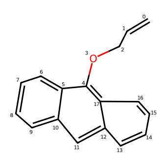 C=CCOc1c2ccccc2cc2ccccc12